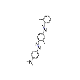 Cc1ccccc1/N=N/c1ccc(/N=N/c2ccc(N(C)C)cc2)c(C)c1